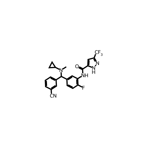 CN(C1CC1)C(c1cccc(C#N)c1)c1ccc(F)c(NC(=O)c2cc(C(F)(F)F)n[nH]2)c1